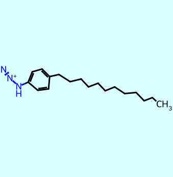 CCCCCCCCCCCCc1ccc(N[N+]#N)cc1